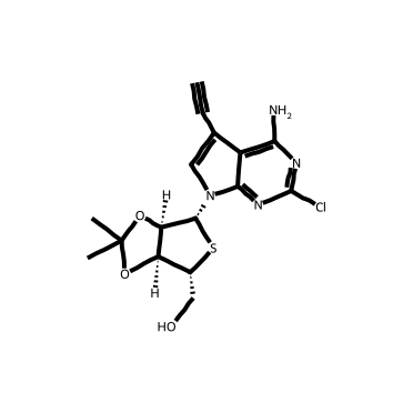 C#Cc1cn([C@@H]2S[C@H](CO)[C@H]3OC(C)(C)O[C@H]32)c2nc(Cl)nc(N)c12